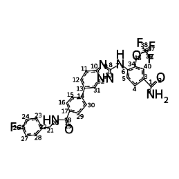 NC(=O)c1ccc(Nc2nc3ccc(-c4ccc(C(=O)NCc5ccc(F)cc5)cc4)cn3n2)c(OC(F)(F)F)c1